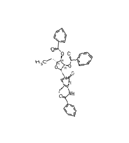 CC[C@H]1OC(n2cc(I)c(NC(=O)c3ccccc3)nc2=O)[C@H](OC(=O)c2ccccc2)[C@@H]1OC(=O)c1ccccc1